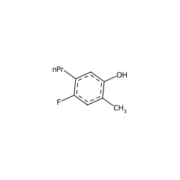 CCCc1cc(O)c(C)cc1F